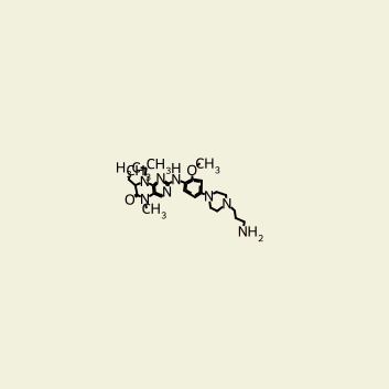 CCC1C(=O)N(C)c2cnc(Nc3ccc(N4CCN(CCCN)CC4)cc3OC)nc2N1C(C)C